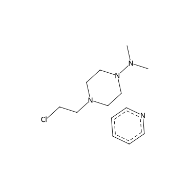 CN(C)N1CCN(CCCl)CC1.c1ccncc1